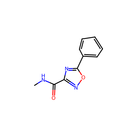 CNC(=O)c1noc(-c2ccccc2)n1